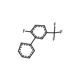 Fc1ccc(C(F)(F)F)cc1-c1ccccc1